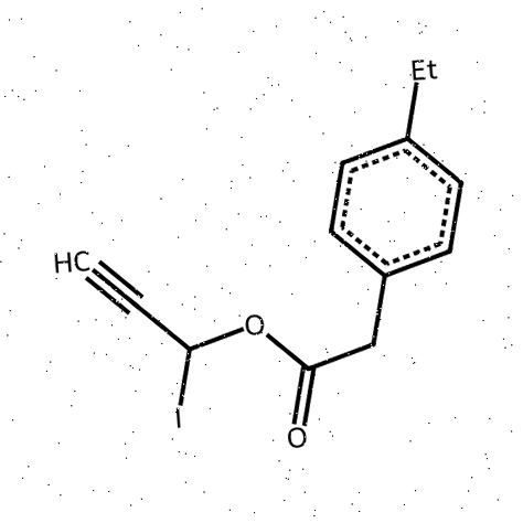 C#CC(I)OC(=O)Cc1ccc(CC)cc1